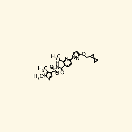 CCc1nc(-n2ccc(OCC3CC34CC4)n2)ccc1C(=O)NS(=O)(=O)c1cnn(C)c1C